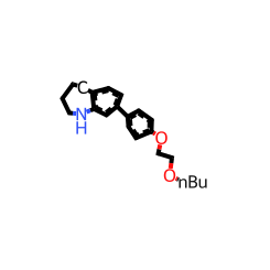 CCCCOCCOc1ccc(-c2ccc3c(c2)NCCCC3)cc1